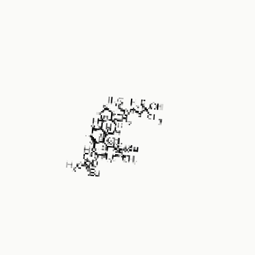 CC(OCCC(C)(C)O)[C@H]1CC[C@H]2C3=CC=C4CC(O[Si](C)(C)C(C)(C)C)CC(O[Si](C)(C)C(C)(C)C)[C@]4(C)[C@H]3CC[C@]12C